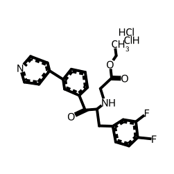 CCOC(=O)CNC(Cc1ccc(F)c(F)c1)C(=O)c1cccc(-c2ccncc2)c1.Cl.Cl